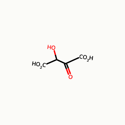 O=C(O)C(=O)C(O)C(=O)O